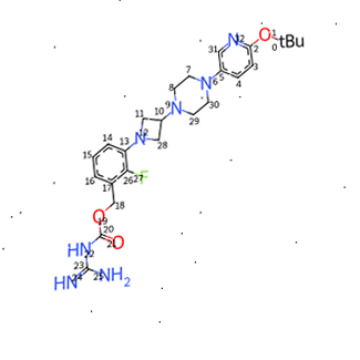 CC(C)(C)Oc1ccc(N2CCN(C3CN(c4cccc(COC(=O)NC(=N)N)c4F)C3)CC2)cn1